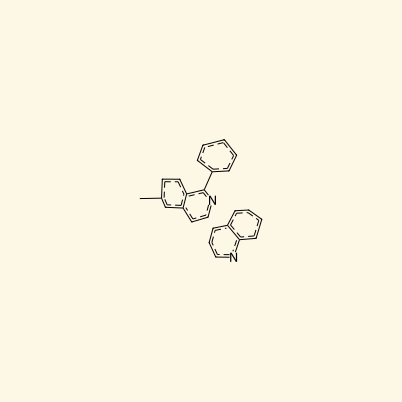 Cc1ccc2c(-c3ccccc3)nccc2c1.c1ccc2ncccc2c1